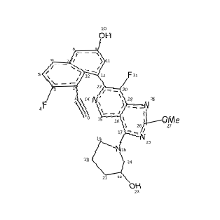 C#Cc1c(F)ccc2cc(O)cc(-c3ncc4c(N5CCCC(O)C5)nc(OC)nc4c3F)c12